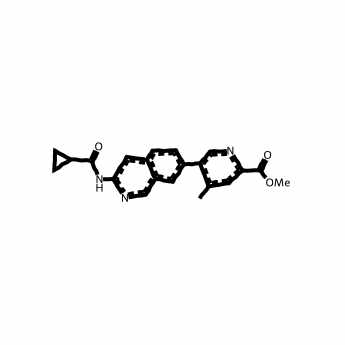 COC(=O)c1cc(C)c(-c2ccc3cc(NC(=O)C4CC4)ncc3c2)cn1